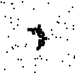 N#Cc1ccc(C(=O)N2CCC3(CC2)CN(CC(=O)O)C(=O)O3)cc1